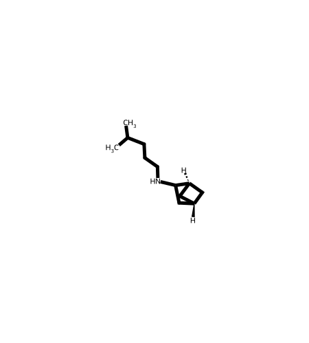 CC(C)CCCNC1C[C@H]2C[C@H]1C2